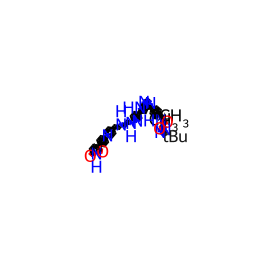 Cc1cc(-c2ncnc3[nH]c(-c4ccc(NCCNCCC5CCN(c6ccc([C@@H]7CCC(=O)NC7=O)cc6)CC5)nc4)cc23)ccc1[C@@H](C)NC(=O)c1nc(C(C)(C)C)no1